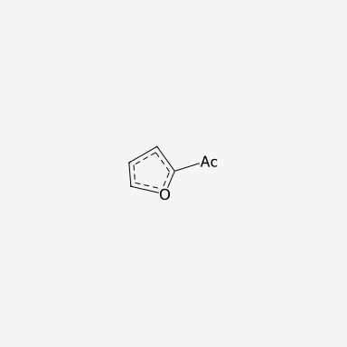 [CH]C(=O)c1ccco1